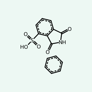 O=C1NC(=O)c2c1cccc2S(=O)(=O)O.c1ccccc1